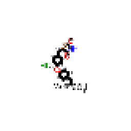 CN[C@@H](Cc1ccc(Oc2ccc(CC3SC(=O)NC3=O)cc2)cc1)C(=O)O.Cl